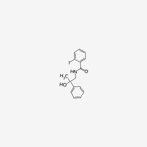 CC(O)(CNC(=O)c1ccccc1I)c1ccccc1